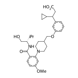 COc1ccc(C(=O)N[C@H](CO)C(C)C)c(N2CCC(COc3cccc(C(CC(=O)O)C4CC4)c3)CC2)c1